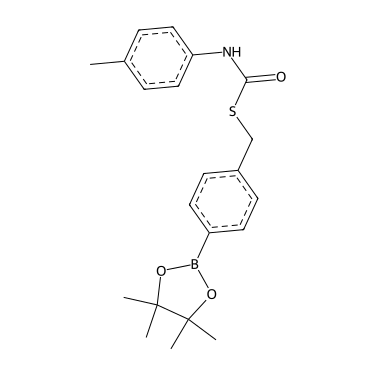 Cc1ccc(NC(=O)SCc2ccc(B3OC(C)(C)C(C)(C)O3)cc2)cc1